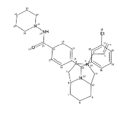 C=CCN1CCC2CCCC(C1)N2C(C1=CCC(C(=O)NN2CCCCC2)C=C1)c1cccc(CC)c1